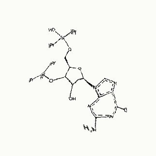 CC(C)[SiH](OC1C(O)[C@H](n2cnc3c(Cl)nc(N)nc32)O[C@@H]1CO[Si](O)(C(C)C)C(C)C)C(C)C